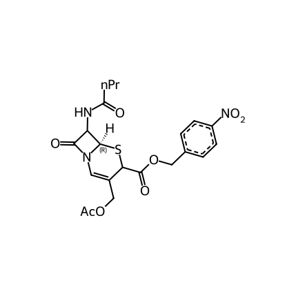 CCCC(=O)NC1C(=O)N2C=C(COC(C)=O)C(C(=O)OCc3ccc([N+](=O)[O-])cc3)S[C@H]12